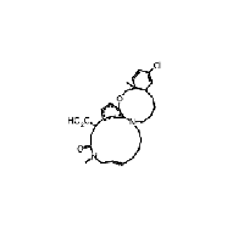 CN1C/C=C/CCCCN2CCCCC3C=C(Cl)C=CC3(C)COc3ccc(cc32)[C@H](C(=O)O)CC1=O